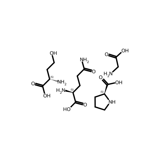 NC(=O)CC[C@H](N)C(=O)O.NCC(=O)O.N[C@@H](CCO)C(=O)O.O=C(O)[C@@H]1CCCN1